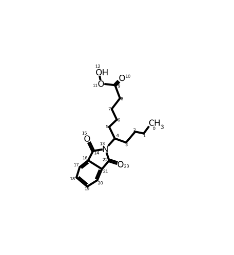 CCCCC(CCCCC(=O)OO)N1C(=O)c2ccccc2C1=O